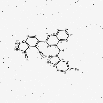 C#Cc1c(-c2nc(Nc3n[nH]c4ccc(F)cc34)c3ccccc3n2)ccc2[nH][nH]c(=O)c12